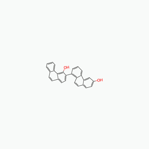 Oc1ccc2ccc3c(-c4ccc5ccc6ccccc6c5c4O)cccc3c2c1